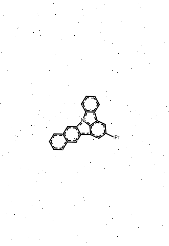 CC(C)c1cc2c3ccccc3n3c4cc5ccccc5cc4c(c1)c23